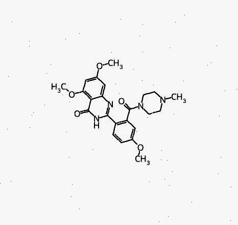 COc1ccc(-c2nc3cc(OC)cc(OC)c3c(=O)[nH]2)c(C(=O)N2CCN(C)CC2)c1